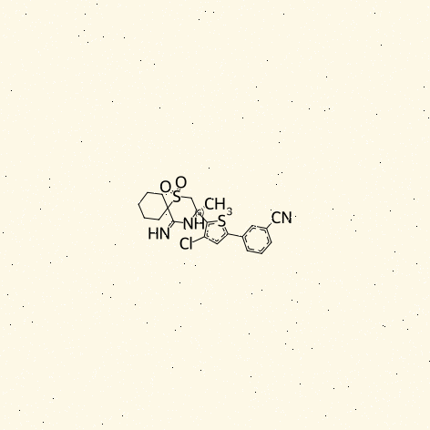 C[C@@]1(c2sc(-c3cccc(C#N)c3)cc2Cl)CS(=O)(=O)C2(CCCCC2)C(=N)N1